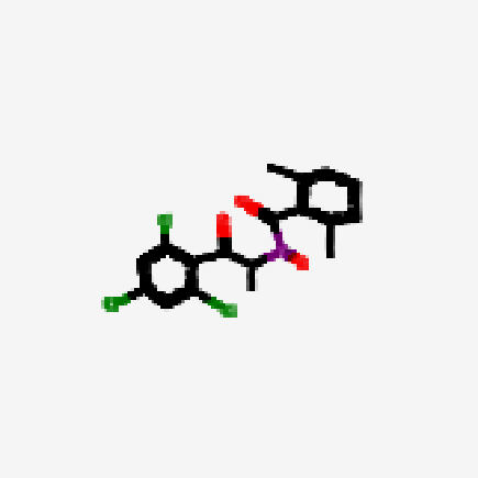 Cc1cccc(C)c1C(=O)[P](=O)C(C)C(=O)c1c(Cl)cc(Cl)cc1Cl